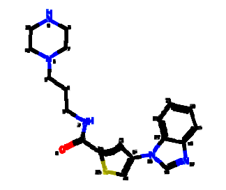 O=C(NCCCN1CCNCC1)c1cc(-n2cnc3ccccc32)cs1